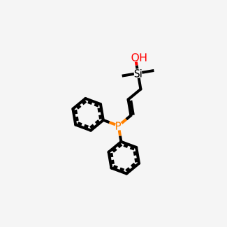 C[Si](C)(O)CC=CP(c1ccccc1)c1ccccc1